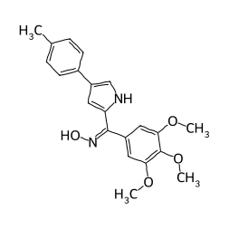 COc1cc(C(=NO)c2cc(-c3ccc(C)cc3)c[nH]2)cc(OC)c1OC